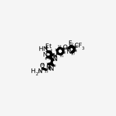 CCNc1cc2c(cn1)c(-c1cnn(CC(N)=O)c1)nn2[C@H]1CC[C@@H](Oc2nccc(C(F)(F)F)c2F)CC1